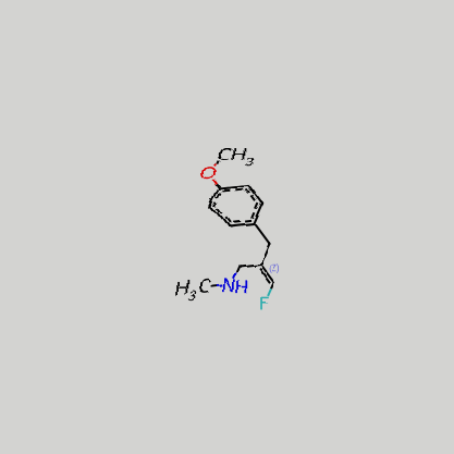 CNC/C(=C\F)Cc1ccc(OC)cc1